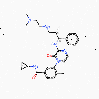 Cc1ccc(C(=O)NC2CC2)cc1-n1ccnc(N[C@@H](c2ccccc2)[C@@H](C)CNCCN(C)C)c1=O